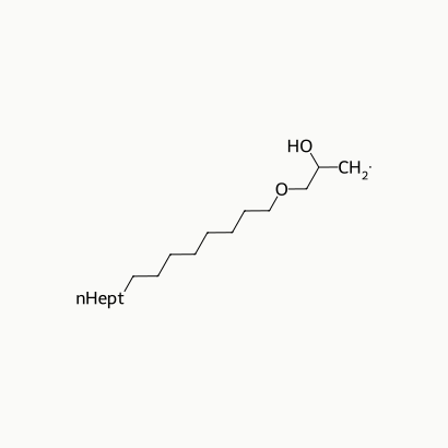 [CH2]C(O)COCCCCCCCCCCCCCCC